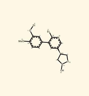 CCOc1cc(-c2cc([C@H]3COB(O)C3)cnc2CC)ccc1OC